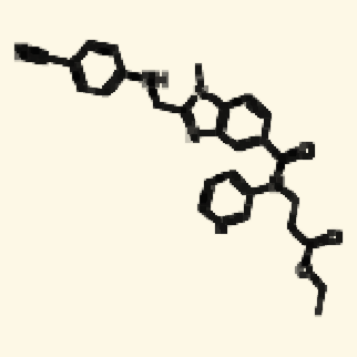 CCOC(=O)CCN(C(=O)c1ccc2c(c1)nc(CNc1ccc(C#N)cc1)n2C)c1cccnc1